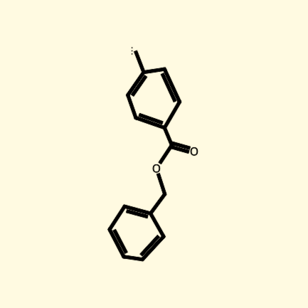 [C]c1ccc(C(=O)OCc2ccccc2)cc1